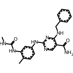 CNC(=O)Nc1cc(Nc2ncc(C(N)=O)c(NCc3ccccc3)n2)ccc1C